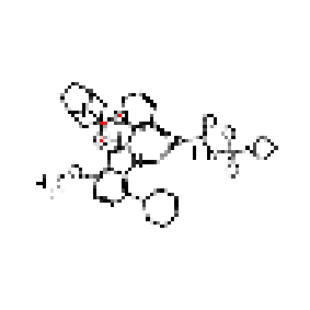 COc1ccc(C2CCCCC2)c2c1cc1n2CC2=C(C(=O)NS(=O)(=O)N3CCC3)C2=C2C=CC[C@@H](C(=O)N3C4CCC3CC(C)(O)C4)C21